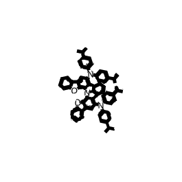 CC(C)c1ccc(N(c2ccc(C(C)C)cc2)c2cc3c4ccccc4oc3c3c2c2cccc4c5c(N(c6ccc(C(C)C)cc6)c6ccc(C(C)C)cc6)cc6c7ccccc7oc6c5n3c24)cc1